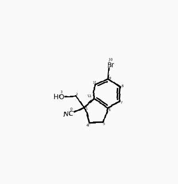 N#CC1(CO)CCc2ccc(Br)cc21